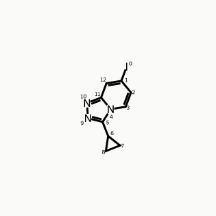 Ic1ccn2c(C3CC3)nnc2c1